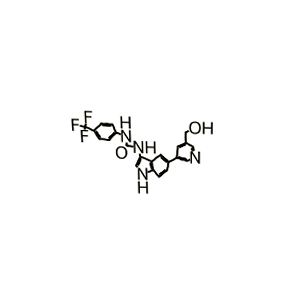 O=C(Nc1ccc(C(F)(F)F)cc1)Nc1c[nH]c2ccc(-c3cncc(CO)c3)cc12